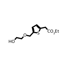 CCOC(=O)Cc1ccc(COCCO)s1